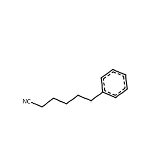 N#CCCCC[CH]c1ccccc1